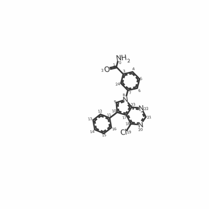 NC(=O)c1cccc(-n2cc(-c3ccccc3)c3c(Cl)ncnc32)c1